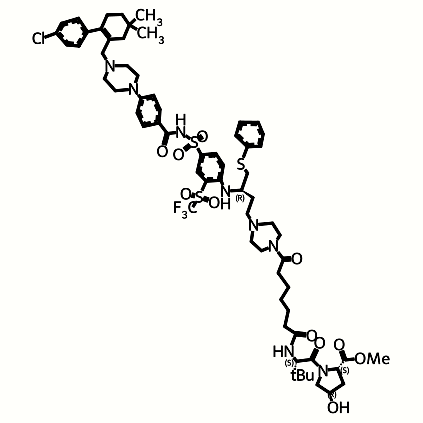 COC(=O)[C@@H]1C[C@@H](O)CN1C(=O)[C@@H](NC(=O)CCCCCC(=O)N1CCN(CC[C@H](CSc2ccccc2)Nc2ccc(S(=O)(=O)NC(=O)c3ccc(N4CCN(CC5=C(c6ccc(Cl)cc6)CCC(C)(C)C5)CC4)cc3)cc2S(=O)(=O)C(F)(F)F)CC1)C(C)(C)C